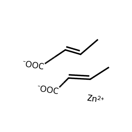 C/C=C/C(=O)[O-].C/C=C/C(=O)[O-].[Zn+2]